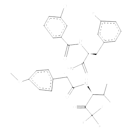 COc1ccc([C@H](NC(=O)[C@H](Cc2cccc(F)c2)NC(=O)c2cccc(Cl)c2)C(=O)N[C@H](C(=O)C(F)(F)F)C(C)C)cc1